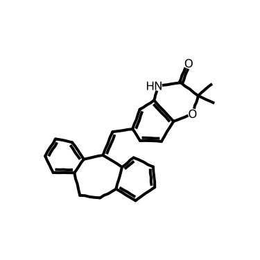 CC1(C)Oc2ccc(C=C3c4ccccc4CCc4ccccc43)cc2NC1=O